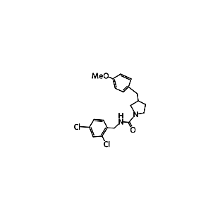 COc1ccc(CC2CCN(C(=O)NCc3ccc(Cl)cc3Cl)C2)cc1